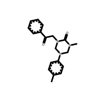 Cc1ccc(N2CN(C)C(=O)N(CC(=O)c3ccccc3)C2)cc1